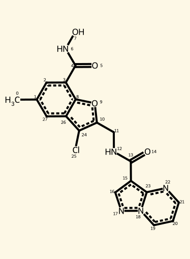 Cc1cc(C(=O)NO)c2oc(CNC(=O)c3cnn4cccnc34)c(Cl)c2c1